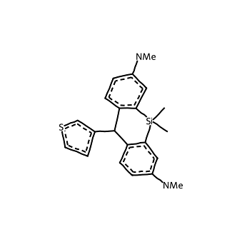 CNc1ccc2c(c1)[Si](C)(C)c1cc(NC)ccc1C2c1ccsc1